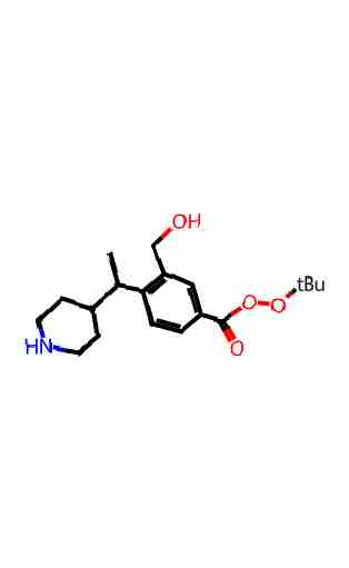 CC(c1ccc(C(=O)OOC(C)(C)C)cc1CO)C1CCNCC1